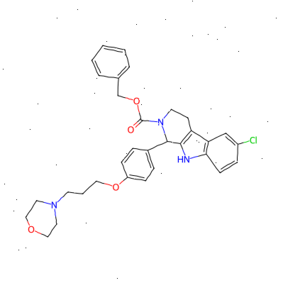 O=C(OCc1ccccc1)N1CCc2c([nH]c3ccc(Cl)cc23)C1c1ccc(OCCCN2CCOCC2)cc1